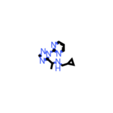 CC(NCC1CC1)c1ncnn1-c1ncccn1